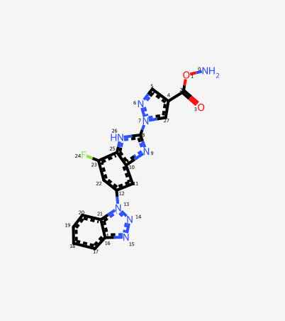 NOC(=O)c1cnn(-c2nc3cc(-n4nnc5ccccc54)cc(F)c3[nH]2)c1